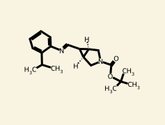 CC(C)c1ccccc1/N=C/C1[C@H]2CN(C(=O)OC(C)(C)C)C[C@@H]12